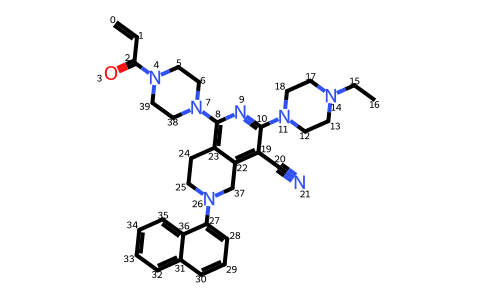 C=CC(=O)N1CCN(c2nc(N3CCN(CC)CC3)c(C#N)c3c2CCN(c2cccc4ccccc24)C3)CC1